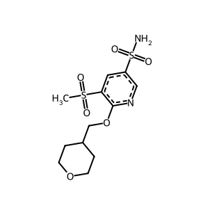 CS(=O)(=O)c1cc(S(N)(=O)=O)cnc1OCC1CCOCC1